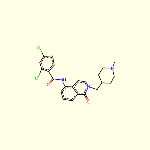 CN1CCC(Cn2ccc3c(NC(=O)c4ccc(Cl)cc4Cl)cccc3c2=O)CC1